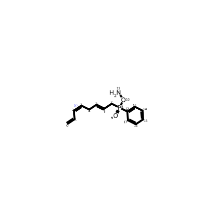 C=C/C=C\CC=CCP(=O)(ON)c1ccccc1